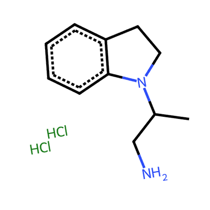 CC(CN)N1CCc2ccccc21.Cl.Cl